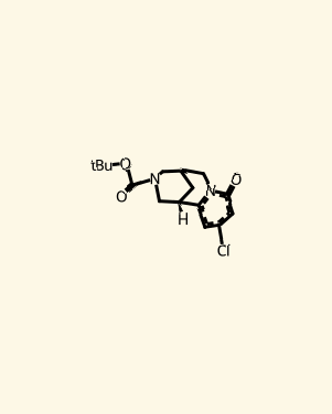 CC(C)(C)OC(=O)N1CC2C[C@@H](C1)c1cc(Cl)cc(=O)n1C2